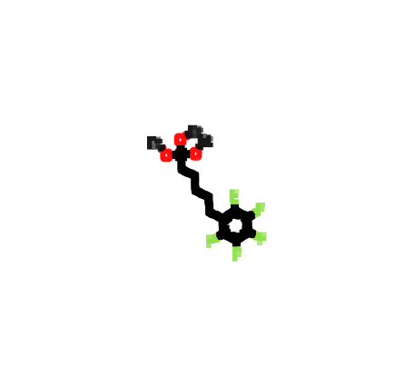 CCO[Si](CCCCCc1c(F)c(F)c(F)c(F)c1F)(OCC)OCC